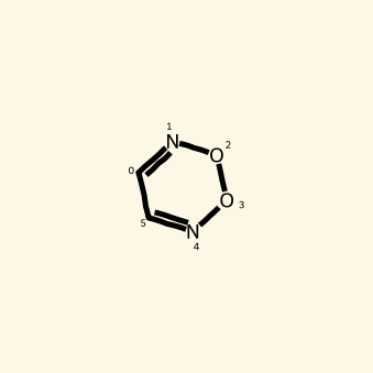 C1=NOON=C1